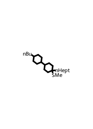 CCCCCCCC1(SC)CCC(C2CCC(CCCC)CC2)CC1